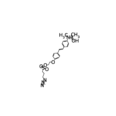 CB(O)N(C)c1ccc(/C=C/c2ccc(OCCOS(=O)(=O)CCCN=[N+]=[N-])cc2)cc1